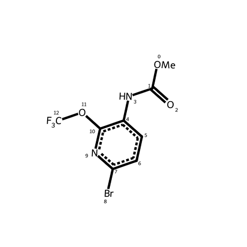 COC(=O)Nc1ccc(Br)nc1OC(F)(F)F